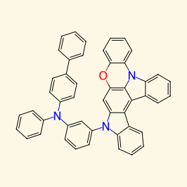 c1ccc(-c2ccc(N(c3ccccc3)c3cccc(-n4c5ccccc5c5c6c7ccccc7n7c6c(cc54)Oc4ccccc4-7)c3)cc2)cc1